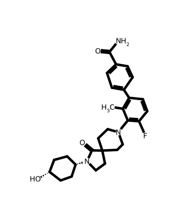 Cc1c(-c2ccc(C(N)=O)cc2)ccc(F)c1N1CCC2(CC1)CCN([C@H]1CC[C@@H](O)CC1)C2=O